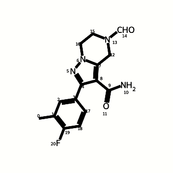 Cc1cc(-c2nn3c(c2C(N)=O)CN(C=O)CC3)ccc1F